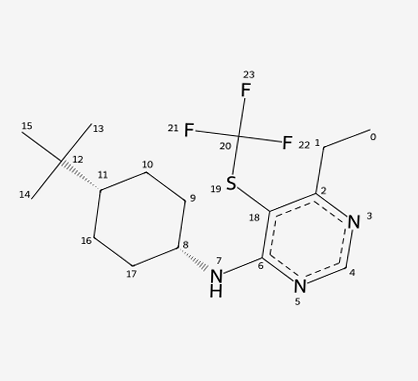 CCc1ncnc(N[C@H]2CC[C@@H](C(C)(C)C)CC2)c1SC(F)(F)F